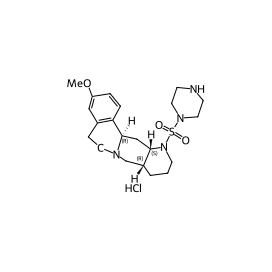 COc1ccc2c(c1)CCN1C[C@H]3CCCN(S(=O)(=O)N4CCNCC4)[C@H]3C[C@H]21.Cl